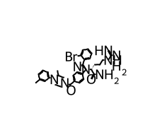 Cc1cccc(N2CCN(C(=O)c3ccc4c(c3)nc(-c3ccccc3Br)n4[C@H](CCCNC(=N)N)C(N)=O)CC2C)c1